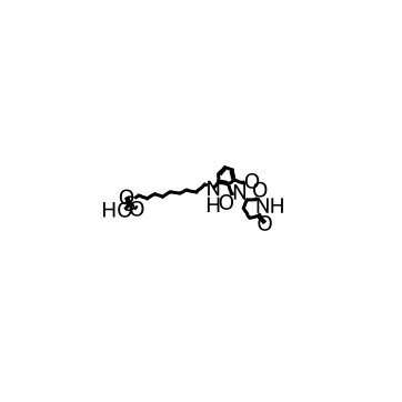 O=C1CCC(N2C(=O)c3cccc(NCCCCCCCCCS(=O)(=O)O)c3C2=O)C(=O)N1